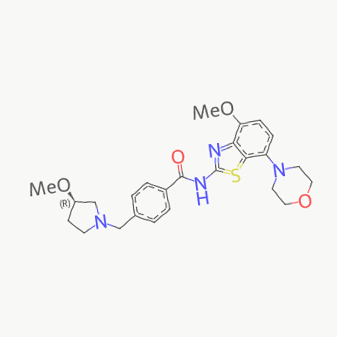 COc1ccc(N2CCOCC2)c2sc(NC(=O)c3ccc(CN4CC[C@@H](OC)C4)cc3)nc12